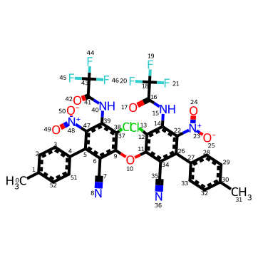 Cc1ccc(-c2c(C#N)c(Oc3c(Cl)c(NC(=O)C(F)(F)F)c([N+](=O)[O-])c(-c4ccc(C)cc4)c3C#N)c(Cl)c(NC(=O)C(F)(F)F)c2[N+](=O)[O-])cc1